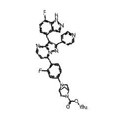 CC(C)(C)OC(=O)N1CC2CC1CN2c1ccc(-c2ccnc3c(-c4ccc(F)c5[nH]ncc45)c(-c4ccncc4)nn23)c(F)c1